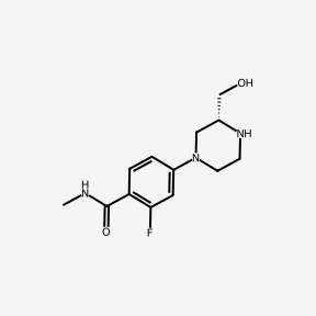 CNC(=O)c1ccc(N2CCN[C@@H](CO)C2)cc1F